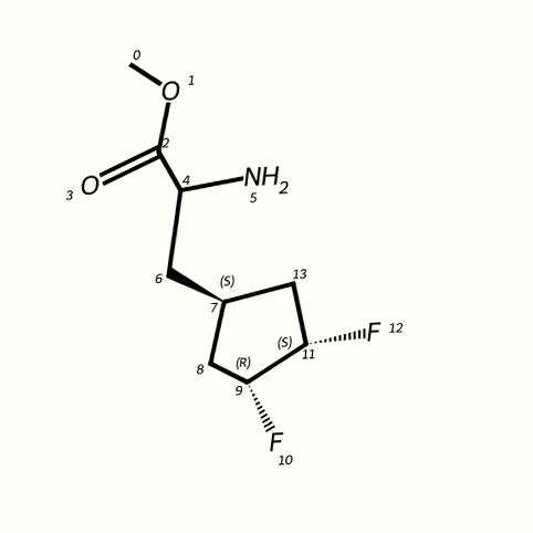 COC(=O)C(N)C[C@@H]1C[C@@H](F)[C@@H](F)C1